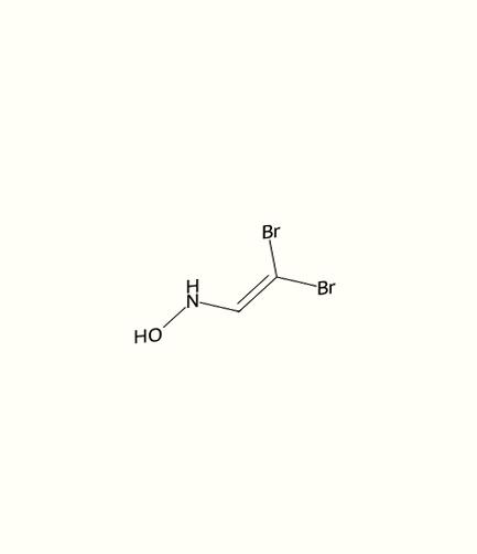 ONC=C(Br)Br